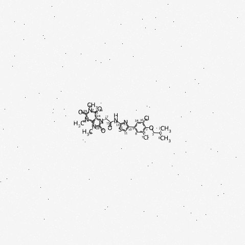 CC(C)COc1c(Cl)cc(-c2csc(NC(=O)Cn3c(=O)n(C)c4c3c(=O)n(C)c(=O)n4C)n2)cc1Cl